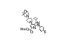 COC(=O)c1cc(N2CCC(N3CCOC(C)(C)C3)CC2)c2c(C3CCC3)nn(-c3ccc(F)cc3)c2n1